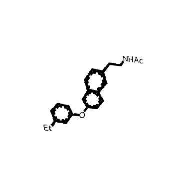 CCc1cccc(Oc2ccc3cc(CCNC(C)=O)ccc3c2)c1